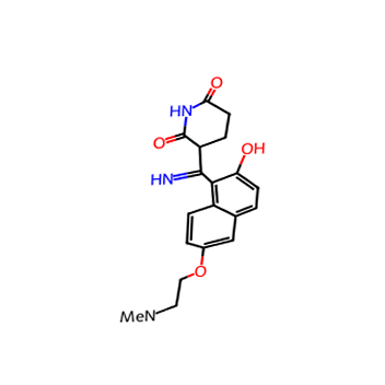 CNCCOc1ccc2c(C(=N)C3CCC(=O)NC3=O)c(O)ccc2c1